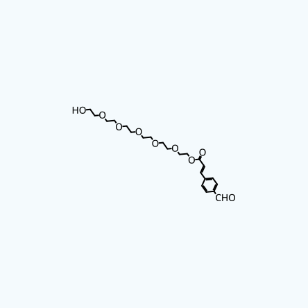 O=Cc1ccc(C=CC(=O)OCCOCCOCCOCCOCCOCCO)cc1